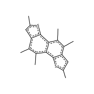 Cc1cc2c(C)c(C)c3c4sc(C)cc4c(C)c(C)c3c2s1